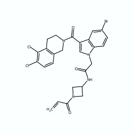 C=CC(=O)N1CC(NC(=O)Cn2cc(C(=O)N3CCc4c(ccc(Cl)c4Cl)C3)c3cc(Br)ccc32)C1